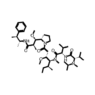 CC[C@H](C)[C@@H]([C@@H](CC(=O)N1CCC[C@H]1[C@H](OC)[C@@H](C)C(=O)N[C@H](C)[C@@H](C)c1ccccc1)OC)N(C)C(=O)[C@@H](NC(=O)[C@H](C(C)C)N(C)C(C)C)C(C)C